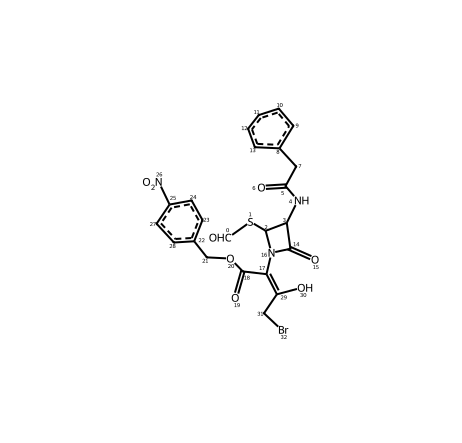 O=CSC1C(NC(=O)Cc2ccccc2)C(=O)N1C(C(=O)OCc1ccc([N+](=O)[O-])cc1)=C(O)CBr